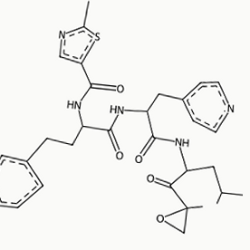 Cc1ncc(C(=O)NC(CCc2ccccc2)C(=O)NC(Cc2ccncc2)C(=O)NC(CC(C)C)C(=O)C2(C)CO2)s1